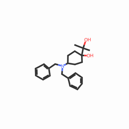 CC(C)(O)C1(O)CCC(N(Cc2ccccc2)Cc2ccccc2)CC1